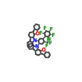 Fc1c(F)c(F)c(-c2cc(-n3c4ccccc4c4ccc5c6ccccc6oc5c43)c(-n3c4ccccc4c4ccc5c6ccccc6oc5c43)cc2C(F)(F)F)c(F)c1F